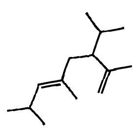 C=C(C)C(C/C(C)=C/C(C)C)C(C)C